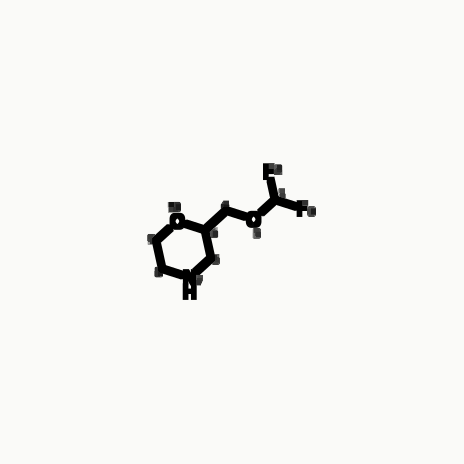 FC(F)OCC1CNCCO1